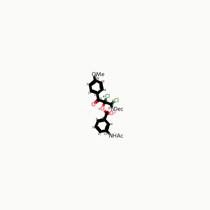 CCCCCCCCCCC(Cl)C(Cl)(OC(=O)c1cccc(NC(C)=O)c1)C(=O)c1ccc(OC)cc1